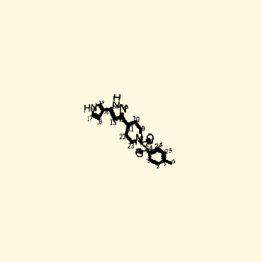 Cc1ccc(S(=O)(=O)N2CCC(c3cc(-c4cc[nH]c4)[nH]n3)CC2)cc1